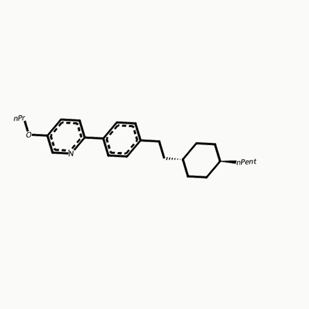 CCCCC[C@H]1CC[C@H](CCc2ccc(-c3ccc(OCCC)cn3)cc2)CC1